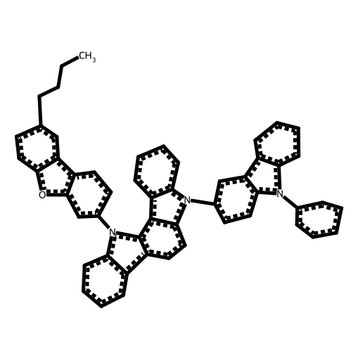 CCCCc1ccc2oc3cc(-n4c5ccccc5c5ccc6c(c7ccccc7n6-c6ccc7c(c6)c6ccccc6n7-c6ccccc6)c54)ccc3c2c1